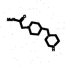 CNC(=O)CN1CCC(CN2CCNCC2)CC1